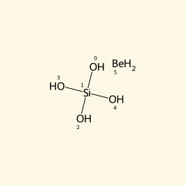 O[Si](O)(O)O.[BeH2]